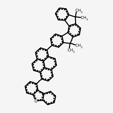 CC1(C)c2ccccc2-c2c1ccc1c2-c2ccc(-c3ccc4ccc5c(-c6cccc7oc8ccccc8c67)ccc6ccc3c4c65)cc2C1(C)C